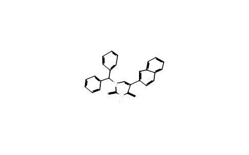 O=c1[nH]c(=O)n(C(c2ccccc2)c2ccccc2)cc1-c1ccc2ccccc2c1